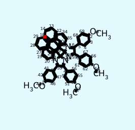 COc1ccc(C2=NC(c3cc4ccccc4c4ccccc34)(C3(c4cc5ccccc5c5ccccc45)N=C(c4ccc(OC)cc4)C(c4ccc(OC)cc4)=N3)N=C2c2ccc(OC)cc2)cc1